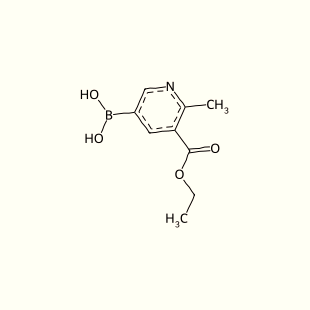 CCOC(=O)c1cc(B(O)O)cnc1C